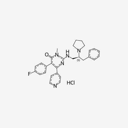 Cl.Cn1c(NC[C@H](Cc2ccccc2)N2CCCC2)nc(-c2ccncc2)c(-c2ccc(F)cc2)c1=O